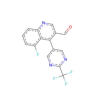 O=Cc1cnc2cccc(F)c2c1-c1cnc(C(F)(F)F)nc1